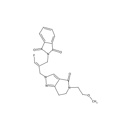 COCCN1CCc2nn(C/C(=C/F)CN3C(=O)c4ccccc4C3=O)cc2C1=O